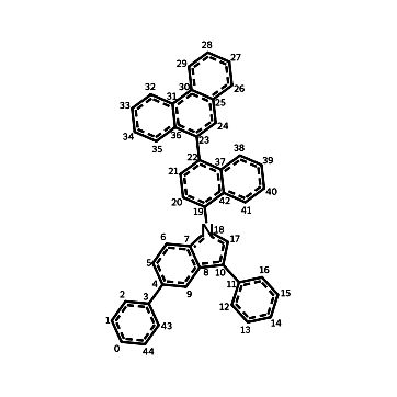 c1ccc(-c2ccc3c(c2)c(-c2ccccc2)cn3-c2ccc(-c3cc4ccccc4c4ccccc34)c3ccccc23)cc1